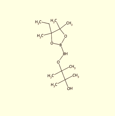 CCC1(C)OB(BOC(C)(C)C(C)(C)O)OC1(C)C